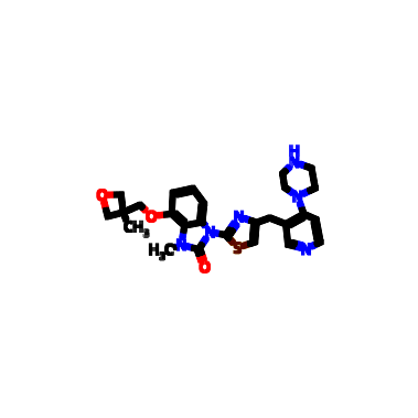 Cn1c(=O)n(-c2nc(Cc3cnccc3N3CCNCC3)cs2)c2cccc(OCC3(C)COC3)c21